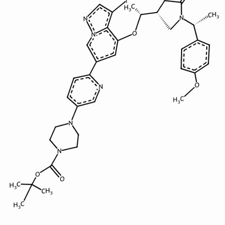 COc1ccc([C@@H](C)N2C[C@H]([C@@H](C)Oc3cc(-c4ccc(N5CCN(C(=O)OC(C)(C)C)CC5)cn4)cn4ncc(I)c34)CC2=O)cc1